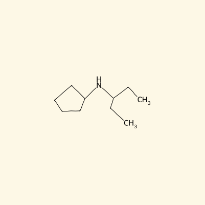 CCC(CC)NC1CCCC1